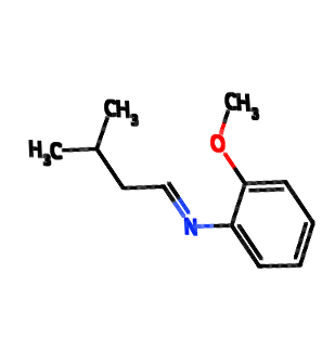 COc1ccccc1N=CCC(C)C